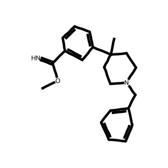 COC(=N)c1cccc(C2(C)CCN(Cc3ccccc3)CC2)c1